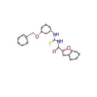 O=C(NC(=S)Nc1cccc(OCc2ccccc2)c1)c1cc2ccccc2o1